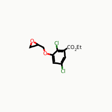 CCOC(=O)c1cc(Cl)cc(OCC2CO2)c1Cl